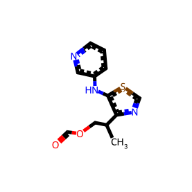 CC(COC=O)c1ncsc1Nc1cccnc1